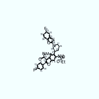 CCS(=O)(=O)Nc1cc2oc(-c3ccc(F)cc3)c(C(=O)NC)c2cc1C1CCCN(c2nc3cc(F)ccc3o2)C1